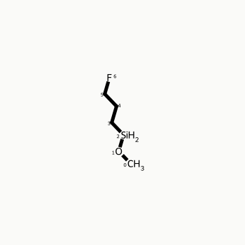 CO[SiH2]CCCF